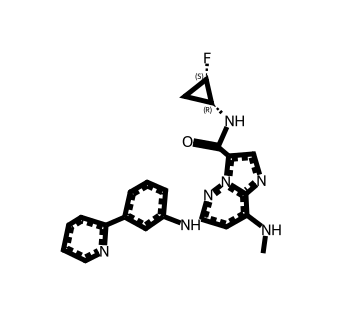 CNc1cc(Nc2cccc(-c3ccccn3)c2)nn2c(C(=O)N[C@@H]3C[C@@H]3F)cnc12